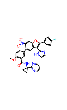 COc1ccc(-c2cc3c(-c4ncc[nH]4)c(-c4ccc(F)cc4)oc3cc2[N+](=O)[O-])cc1C(=O)NC1(c2ncccn2)CC1